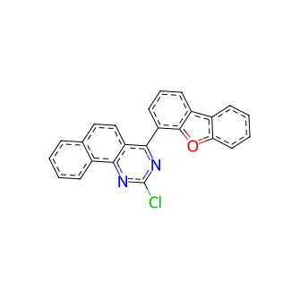 Clc1nc(-c2cccc3c2oc2ccccc23)c2ccc3ccccc3c2n1